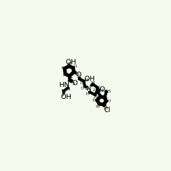 O=C(NCCO)c1ccc(O)cc1OC[C@H](O)CN1CCC2(CC1)OCc1cc(Cl)ccc12